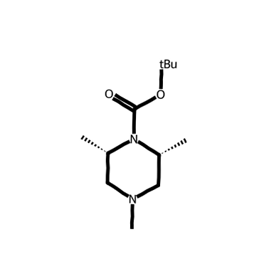 C[C@@H]1CN(C)C[C@H](C)N1C(=O)OC(C)(C)C